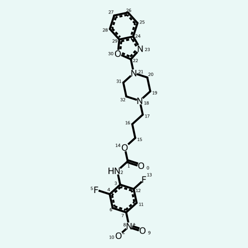 O=C(Nc1c(F)cc([N+](=O)[O-])cc1F)OCCCN1CCN(c2nc3ccccc3o2)CC1